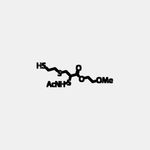 COCCOC(=O)C(CSCCS)SNC(C)=O